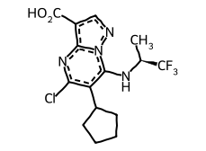 C[C@H](Nc1c(C2CCCC2)c(Cl)nc2c(C(=O)O)cnn12)C(F)(F)F